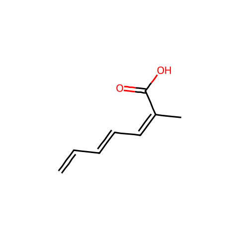 C=CC=CC=C(C)C(=O)O